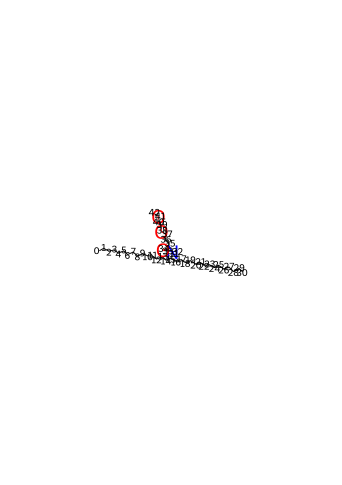 CCCCCCCCCCCCCCCC(CCCCCCCCCCCCCCC)N(C)C(=O)CCCOCCOC